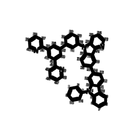 c1ccc(-n2c3ccccc3c3ccc(-c4ccc5c(c4)c4ncccc4n5-c4cccc(-c5cc(-c6ccccn6)cc(-c6ccccn6)c5)c4)cc32)cc1